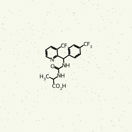 CC(NC(=O)NC(c1ccc(C(F)(F)F)cc1)c1ncccc1C(F)(F)F)C(=O)O